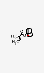 CC=C(C)C(=O)OC12CC3CC(CC(C3)C1)C2